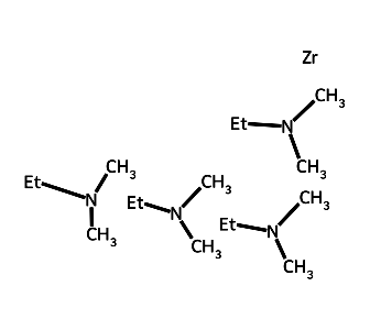 CCN(C)C.CCN(C)C.CCN(C)C.CCN(C)C.[Zr]